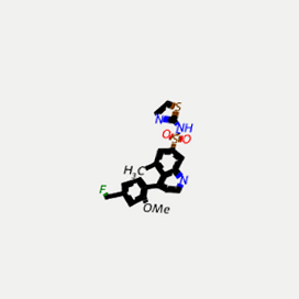 COc1cc(CF)ccc1-c1ccnc2cc(S(=O)(=O)Nc3nccs3)cc(C)c12